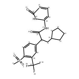 CS(=O)(=O)c1ccc(C(CC2CCCC2)C(=O)Nc2ccnc(=O)[nH]2)cc1C(F)(F)F